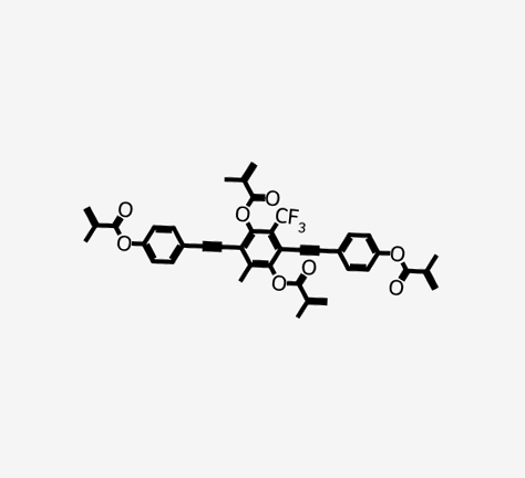 C=C(C)C(=O)Oc1ccc(C#Cc2c(C)c(OC(=O)C(=C)C)c(C#Cc3ccc(OC(=O)C(=C)C)cc3)c(C(F)(F)F)c2OC(=O)C(=C)C)cc1